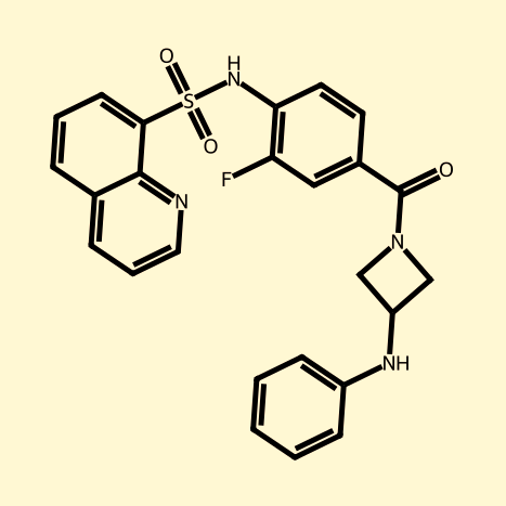 O=C(c1ccc(NS(=O)(=O)c2cccc3cccnc23)c(F)c1)N1CC(Nc2ccccc2)C1